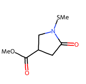 COC(=O)C1CC(=O)N(SC)C1